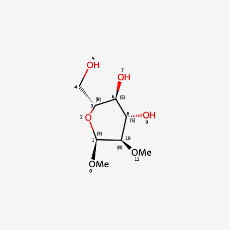 CO[C@H]1O[C@H](CO)[C@@H](O)[C@H](O)[C@H]1OC